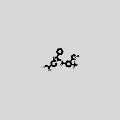 Cn1ccc(-c2cc(C(=O)Nc3c(-c4ccccc4)nc4cc(C(O)CO)ccn34)ccc2C(F)(F)F)n1